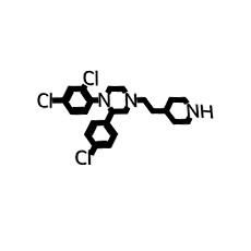 Clc1ccc(C2CN(CCC3CCNCC3)CCN2c2ccc(Cl)cc2Cl)cc1